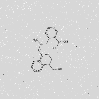 CN(CC1=c2ccccc2=C(CO)CC1)Cc1ccccc1B(O)O